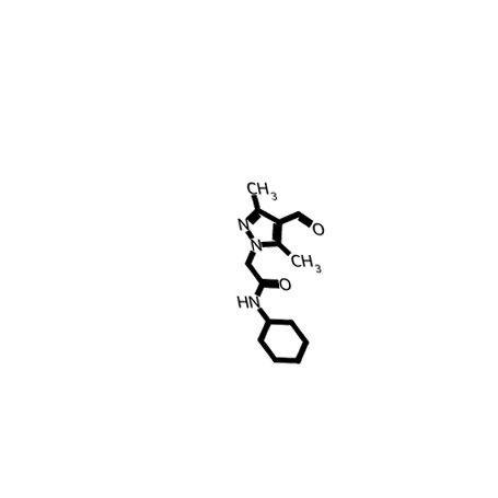 Cc1nn(CC(=O)NC2CCCCC2)c(C)c1C=O